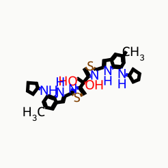 Cc1cc(NC2CCCC2)c2[nH]c(-c3nc(C(O)(CO)c4csc(-c5cc6cc(C)cc(NC7CCCC7)c6[nH]5)n4)cs3)cc2c1